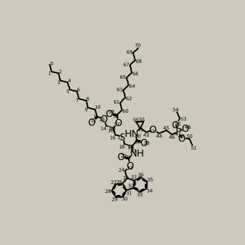 CCCCCCCCCCCC(=O)OC[C@H](CSC[C@H](NC(=O)OCC1c2ccccc2-c2ccccc21)C(=O)NC1(COCCCP(=O)(OCC)OCC)CC1)OC(=O)CCCCCCCCCCC